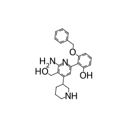 Nc1nc(-c2c(O)cccc2OCc2ccccc2)cc(C2CCCNC2)c1CO